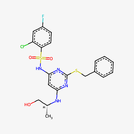 C[C@H](CO)Nc1cc(NS(=O)(=O)c2ccc(F)cc2Cl)nc(SCc2ccccc2)n1